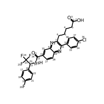 O=C(O)CCCCc1nc2cc(C(=O)[AsH][C@@H](c3ccc(F)cc3)C(F)(F)F)ccc2nc1-c1ccc(Cl)cc1